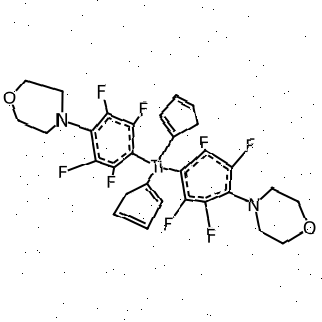 Fc1c(F)[c]([Ti]([C]2=CC=CC2)([C]2=CC=CC2)[c]2c(F)c(F)c(N3CCOCC3)c(F)c2F)c(F)c(F)c1N1CCOCC1